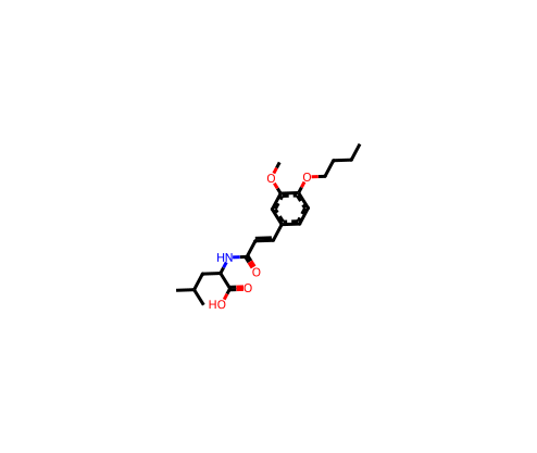 CCCCOc1ccc(/C=C/C(=O)NC(CC(C)C)C(=O)O)cc1OC